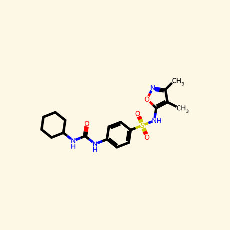 Cc1noc(NS(=O)(=O)c2ccc(NC(=O)NC3CCCCC3)cc2)c1C